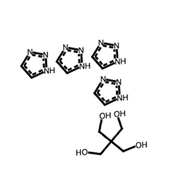 OCC(CO)(CO)CO.c1c[nH]nn1.c1c[nH]nn1.c1c[nH]nn1.c1c[nH]nn1